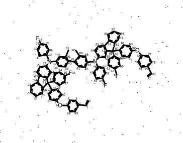 C=Cc1ccc(Oc2ccc(C3(c4ccc(F)cc4)c4ccccc4-c4ccc(N(c5ccc(F)cc5)c5ccc(-c6ccc(N(c7ccc(F)cc7)c7ccc8c(c7)[C@@](c7ccc(F)cc7)(c7ccc(Oc9ccc(C=C)cc9)cc7)c7ccccc7-8)cc6C)c(C)c5)cc43)cc2)cc1